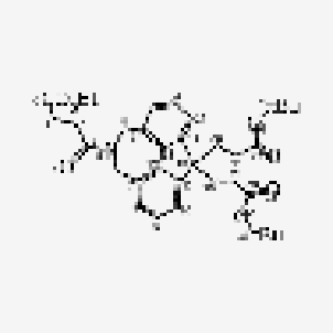 CCOC(=O)CCC(=O)N1Cc2cccc3c2-c2c(cccc2C3(CCC(=O)OC(C)(C)C)CCC(=O)OC(C)(C)C)C1